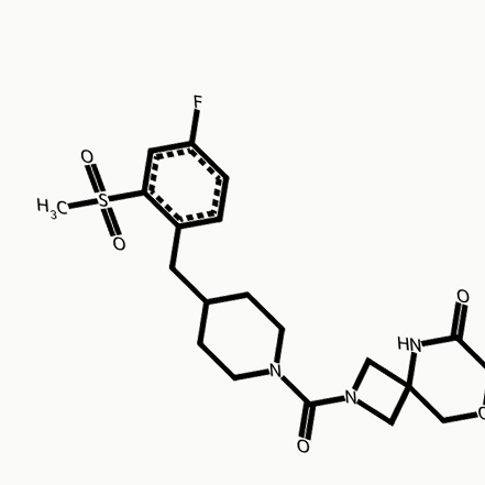 CS(=O)(=O)c1cc(F)ccc1CC1CCN(C(=O)N2CC3(COCC(=O)N3)C2)CC1